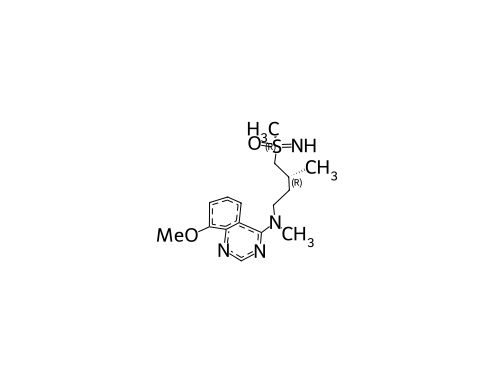 COc1cccc2c(N(C)CC[C@@H](C)C[S@](C)(=N)=O)ncnc12